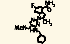 CNCc1cnc(-n2c(C)cc3c(C(N)=O)cc(F)cc32)nc1NCc1ccccc1